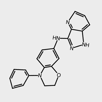 c1ccc(N2CCOc3cc(Nc4n[nH]c5cccnc45)ccc32)cc1